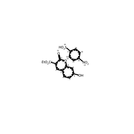 CCOC(=O)c1cc2ccc(O)cc2oc1=O.O=[N+]([O-])c1ccc(S(=O)(=O)O)cc1